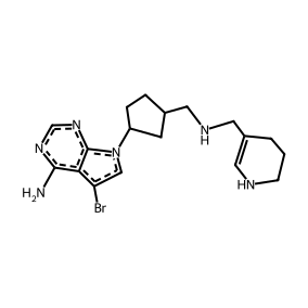 Nc1ncnc2c1c(Br)cn2C1CCC(CNCC2=CNCCC2)C1